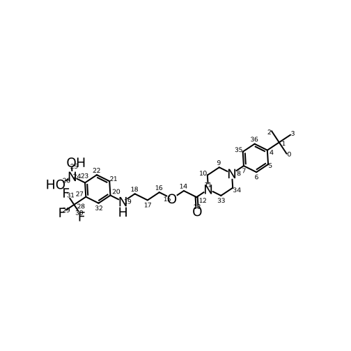 CC(C)(C)c1ccc(N2CCN(C(=O)COCCCNc3ccc(N(O)O)c(C(F)(F)F)c3)CC2)cc1